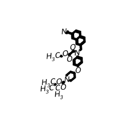 CCOC(=O)C(=O)N(Cc1ccc2ccc(C#N)cc2c1)c1ccc(OC2CCN(C(=O)OC(C)(C)C)CC2)cc1